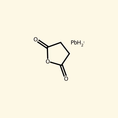 O=C1CCC(=O)O1.[PbH2]